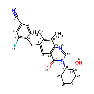 Cc1c(Cc2ccc(C#N)cc2F)cc2c(=O)n([C@@H]3CCCC[C@H]3O)cnc2c1C